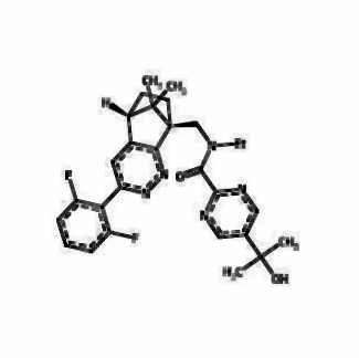 CCN(C[C@@]12CC[C@@H](c3cc(-c4c(F)cccc4F)nnc31)C2(C)C)C(=O)c1ncc(C(C)(C)O)cn1